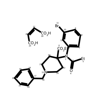 CCOC(=O)C1(N(C(=O)CC)c2cccc(Br)c2)CCN(Cc2ccccc2)CC1.O=C(O)/C=C\C(=O)O